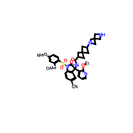 CCOc1ncccc1C1(NC(=O)C2CC3(C2)CC(N2CC4(CNC4)C2)C3)C(=O)N(S(=O)(=O)c2ccc(OC)cc2OC)c2ccc(C#N)cc21